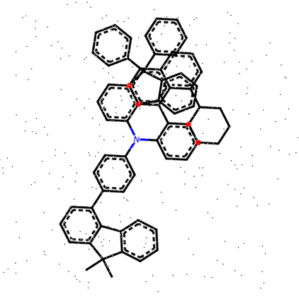 CC1(C)c2ccccc2-c2c(-c3ccc(N(c4ccccc4-c4cccc5cccc(C6CCCCC6)c45)c4cccc5c4-c4ccccc4C5(c4ccccc4)c4ccccc4)cc3)cccc21